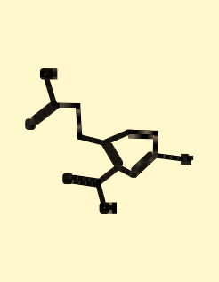 O=C(O)CCc1ccc(Br)cc1C(=O)O